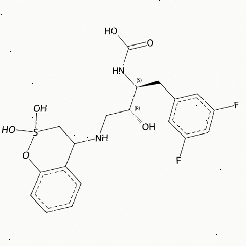 O=C(O)N[C@@H](Cc1cc(F)cc(F)c1)[C@H](O)CNC1CS(O)(O)Oc2ccccc21